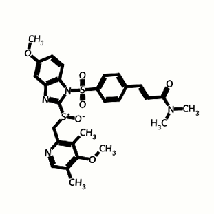 COc1ccc2c(c1)nc([S+]([O-])Cc1ncc(C)c(OC)c1C)n2S(=O)(=O)c1ccc(C=CC(=O)N(C)C)cc1